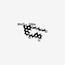 COC(=O)CC(CC1CCN(C(=O)CCc2ccc3c(n2)NCCC3)CC1)c1ccc(OCCOCCOCCCl)c(OC)c1